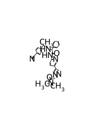 C[C@@H](CN[C@H](C(=O)Nc1ccc(-c2cnn(CC(=O)N(C)C)c2)cn1)c1ccccc1)c1ccc(C#N)cc1